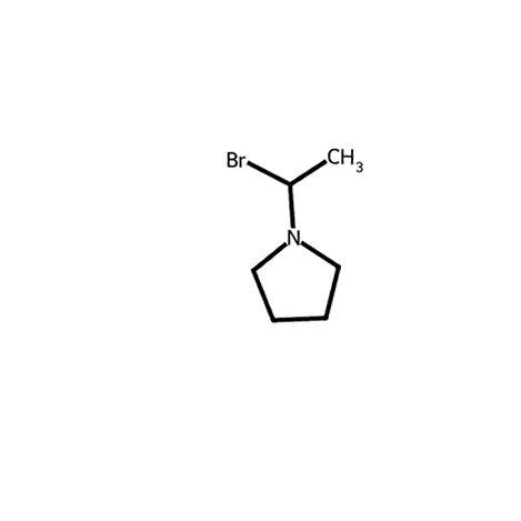 CC(Br)N1CCCC1